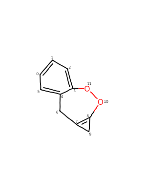 c1ccc2c(c1)CC1=C(C1)OO2